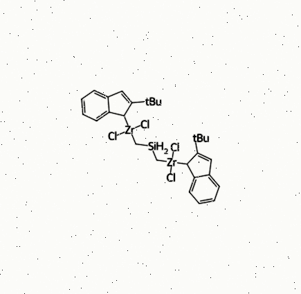 CC(C)(C)C1=Cc2ccccc2[CH]1[Zr]([Cl])([Cl])[CH2][SiH2][CH2][Zr]([Cl])([Cl])[CH]1C(C(C)(C)C)=Cc2ccccc21